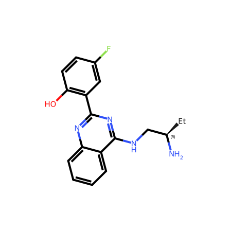 CC[C@@H](N)CNc1nc(-c2cc(F)ccc2O)nc2ccccc12